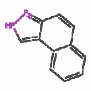 c1ccc2c(c1)ccc1p[pH]cc12